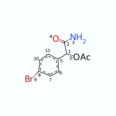 CC(=O)OC(C(N)=O)c1ccc(Br)cc1